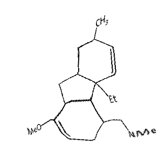 CCC12C=CC(C)CC1CC1C(OC)=CCC(CNC)C12